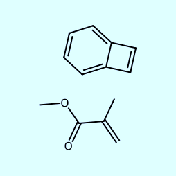 C1=Cc2ccccc21.C=C(C)C(=O)OC